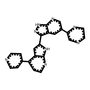 c1cc(-c2ccnc3[nH]c(-c4n[nH]c5ncc(-c6cnccn6)cc45)cc23)ccn1